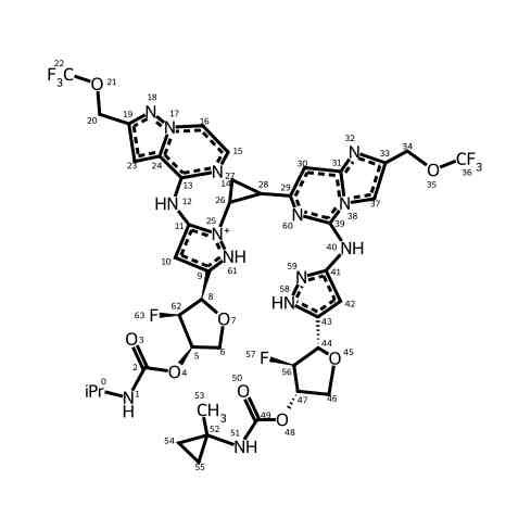 CC(C)NC(=O)O[C@@H]1CO[C@H](c2cc(Nc3nccn4nc(COC(F)(F)F)cc34)[n+](C3CC3c3cc4nc(COC(F)(F)F)cn4c(Nc4cc([C@@H]5OC[C@H](OC(=O)NC6(C)CC6)[C@H]5F)[nH]n4)n3)[nH]2)[C@@H]1F